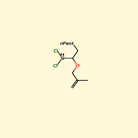 C=C(C)COC(CCCCCC)[SiH](Cl)Cl